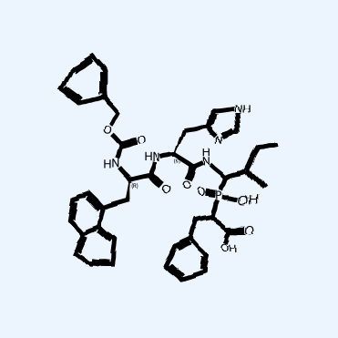 CCC(C)C(NC(=O)[C@H](Cc1c[nH]cn1)NC(=O)[C@@H](Cc1cccc2ccccc12)NC(=O)OCc1ccccc1)P(=O)(O)C(Cc1ccccc1)C(=O)O